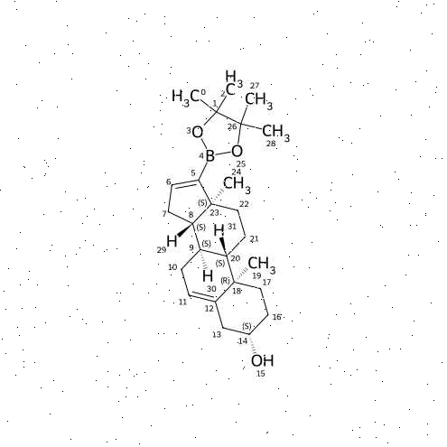 CC1(C)OB(C2=CC[C@H]3[C@@H]4CC=C5C[C@@H](O)CC[C@]5(C)[C@H]4CC[C@]23C)OC1(C)C